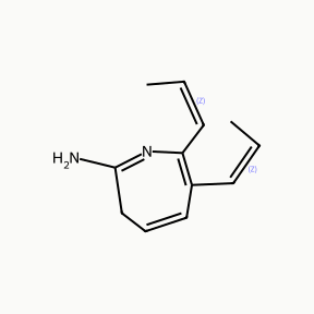 C/C=C\C1=C(/C=C\C)N=C(N)CC=C1